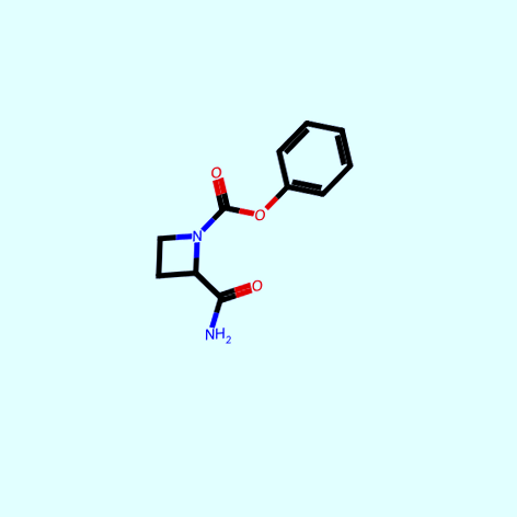 NC(=O)C1CCN1C(=O)Oc1ccccc1